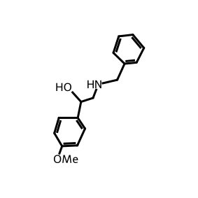 COc1ccc(C(O)CNCc2ccccc2)cc1